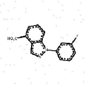 O=C(O)c1cccc2c1cnn2-c1cccc(F)c1